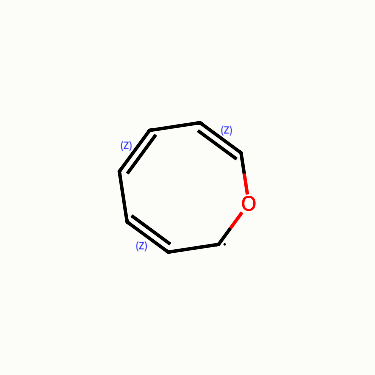 [CH]1\C=C/C=C\C=C/O1